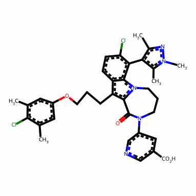 Cc1cc(OCCCc2c3n(c4c(-c5c(C)nn(C)c5C)c(Cl)ccc24)CCCN(c2cncc(C(=O)O)c2)C3=O)cc(C)c1Cl